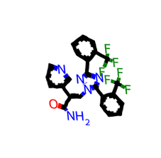 NC(=O)/C(=C/n1nc(-c2ccccc2C(F)(F)F)nc1-c1ccccc1C(F)(F)F)c1cccnc1